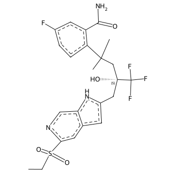 CCS(=O)(=O)c1cc2cc(C[C@@](O)(CC(C)(C)c3ccc(F)cc3C(N)=O)C(F)(F)F)[nH]c2cn1